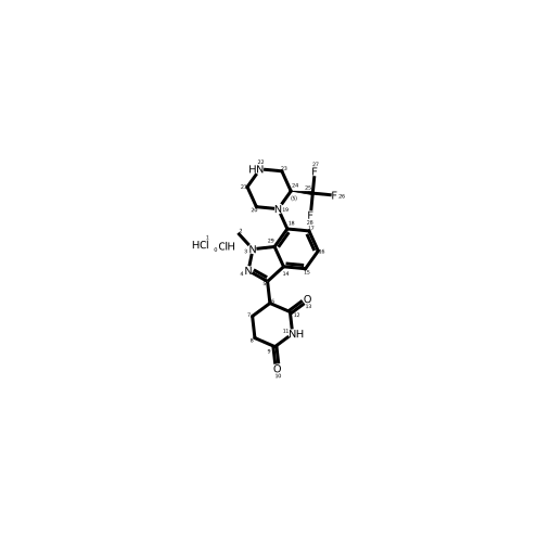 Cl.Cl.Cn1nc(C2CCC(=O)NC2=O)c2cccc(N3CCNC[C@H]3C(F)(F)F)c21